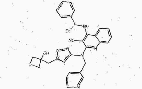 CC[C@@H](Nc1c(C#N)c(N(Cc2cccnc2)c2cn(CC3(O)COC3)nn2)nc2ccccc12)c1ccccc1